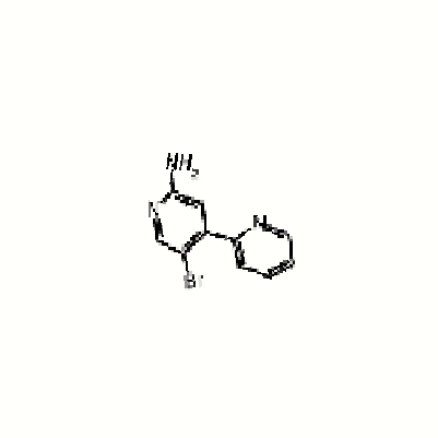 Nc1cc(-c2ccccn2)c(Br)cn1